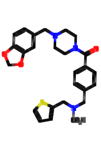 O=C(O)N(Cc1ccc(C(=O)N2CCN(Cc3ccc4c(c3)OCO4)CC2)cc1)Cc1cccs1